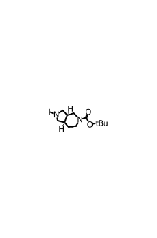 CC(C)(C)OC(=O)N1CC[C@H]2CN(I)C[C@H]2C1